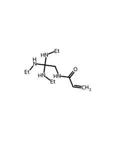 C=CC(=O)NCC(NCC)(NCC)NCC